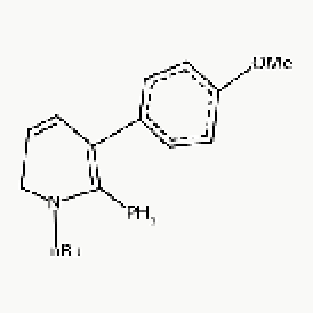 CCCCN1CC=CC(c2ccc(OC)cc2)=C1P